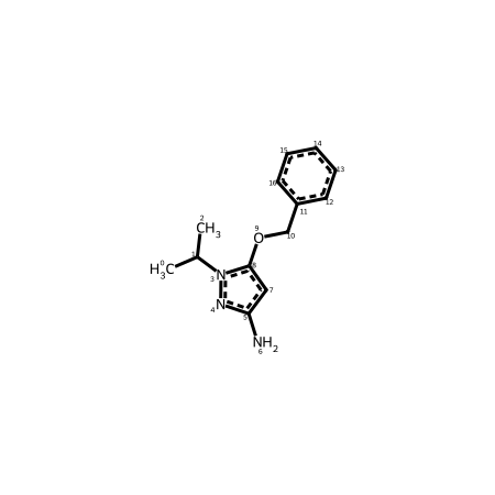 CC(C)n1nc(N)cc1OCc1ccccc1